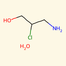 NCC(Cl)CO.O